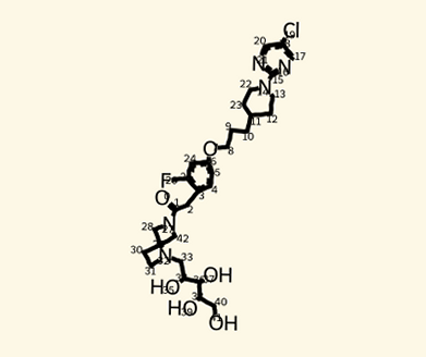 O=C(Cc1ccc(OCCCC2CCN(c3ncc(Cl)cn3)CC2)cc1F)N1CC2(CCN2CC(O)C(O)C(O)CO)C1